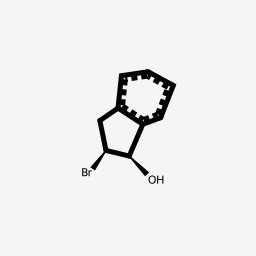 O[C@@H]1c2ccccc2C[C@@H]1Br